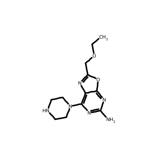 CCOCc1nc2c(N3CCNCC3)nc(N)nc2o1